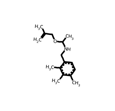 C=C(C)COC(C)NCc1ccc(C)c(C)c1C